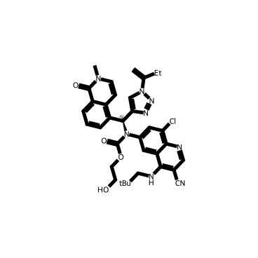 C=C(CC)n1cc([C@H](c2cccc3c(=O)n(C)ccc23)N(C(=O)OCCO)c2cc(Cl)c3ncc(C#N)c(NCC(C)(C)C)c3c2)nn1